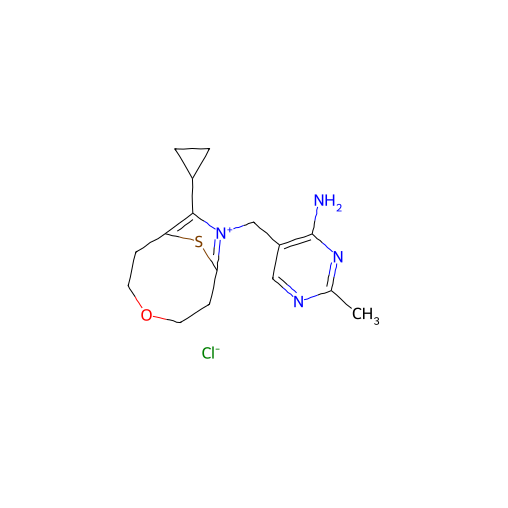 Cc1ncc(C[n+]2c3sc(c2C2CC2)CCOCC3)c(N)n1.[Cl-]